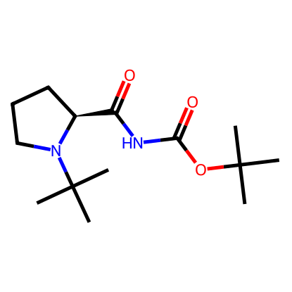 CC(C)(C)OC(=O)NC(=O)[C@@H]1CCCN1C(C)(C)C